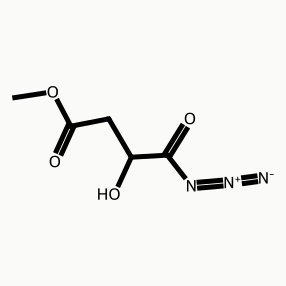 COC(=O)CC(O)C(=O)N=[N+]=[N-]